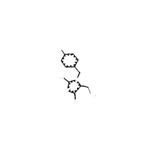 CCCCc1nc(Cl)c(COC)n1Cc1ccc(C(=O)O)cc1